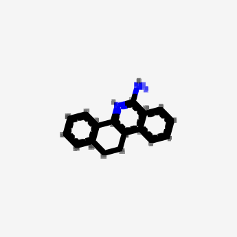 Nc1nc2c(c3ccccc13)CCc1ccccc1-2